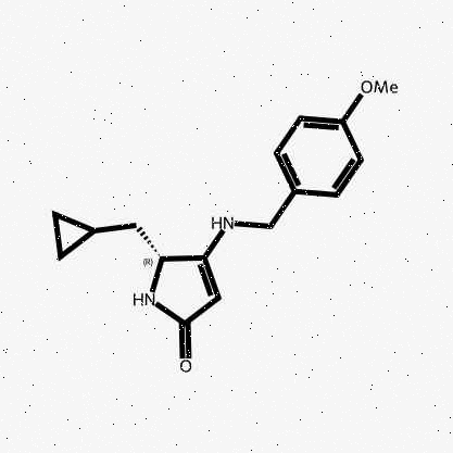 COc1ccc(CNC2=CC(=O)N[C@@H]2CC2CC2)cc1